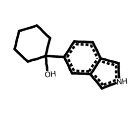 OC1(c2ccc3c[nH]cc3c2)CCCCC1